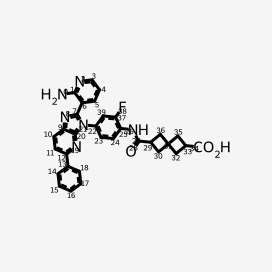 Nc1ncccc1-c1nc2ccc(-c3ccccc3)nc2n1-c1ccc(NC(=O)C2CC3(CC(C(=O)O)C3)C2)c(F)c1